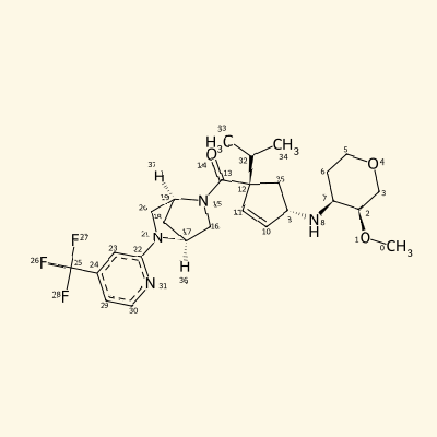 CO[C@@H]1COCC[C@@H]1N[C@@H]1C=C[C@@](C(=O)N2C[C@@H]3C[C@H]2CN3c2cc(C(F)(F)F)ccn2)(C(C)C)C1